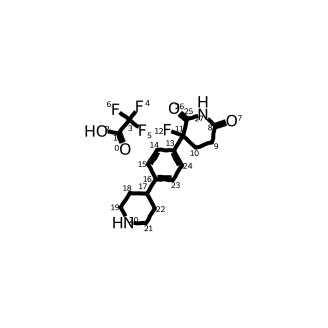 O=C(O)C(F)(F)F.O=C1CCC(F)(c2ccc(C3CCNCC3)cc2)C(=O)N1